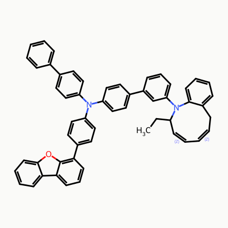 CCC1/C=C\C=C/Cc2ccccc2N1c1cccc(-c2ccc(N(c3ccc(-c4ccccc4)cc3)c3ccc(-c4cccc5c4oc4ccccc45)cc3)cc2)c1